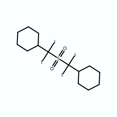 O=S(=O)(C(I)(I)C1CCCCC1)C(I)(I)C1CCCCC1